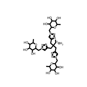 B[C@@H](C)C(Cc1cn(CC2OC(C)C(O)C(O)C2O)nn1)(Cc1cn(CC2OC(C)C(O)C(O)C2O)nn1)Cc1cn(CC2OC(C)C(O)C(O)C2O)nn1